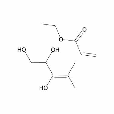 C=CC(=O)OCC.CC(C)=C(O)C(O)CO